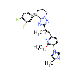 COc1nc(/C=C(\C)c2nc3n(n2)CCC[C@@H]3c2ccc(F)c(F)c2)ccc1-n1cnc(C)c1